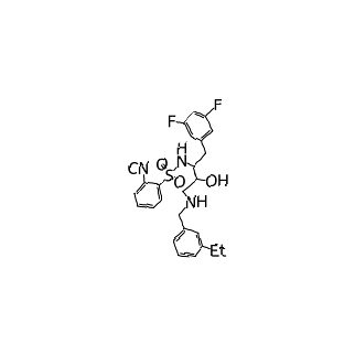 CCc1cccc(CNCC(O)C(Cc2cc(F)cc(F)c2)NS(=O)(=O)c2ccccc2C#N)c1